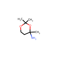 CC1(N)CCOC(C)(C)O1